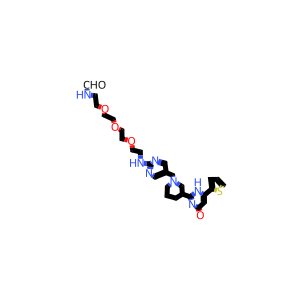 O=CNCCOCCOCCOCCNc1ncc(CN2CCCC(c3nc(=O)cc(-c4cccs4)[nH]3)C2)cn1